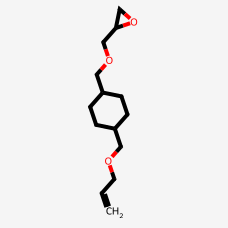 C=CCOCC1CCC(COCC2CO2)CC1